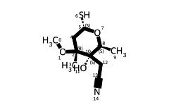 CO[C@]1(C)C[C@H](S)O[C@@H](C)[C@@]1(O)CC#N